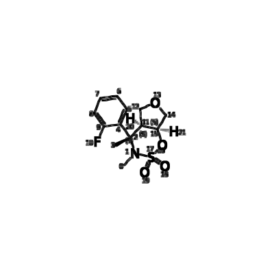 CN1[C@](C)(c2ccccc2F)[C@H]2COC[C@H]2OS1(=O)=O